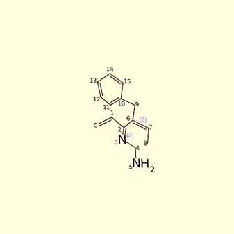 C=CC(=N/CN)/C(=C\C)Cc1ccccc1